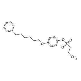 CCCS(=O)(=O)Oc1ccc(OCCCCCCc2ccccc2)cc1